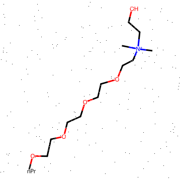 CCCOCCOCCOCCOCC[N+](C)(C)CCO